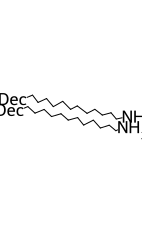 CCCCCCCCCCCCCCCCCCCCCCN.CCCCCCCCCCCCCCCCCCCCCCN